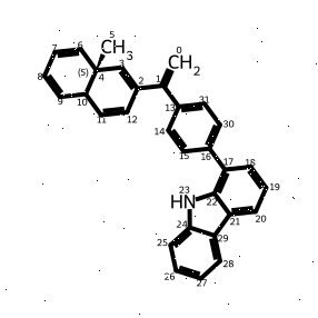 C=C(C1=C[C@@]2(C)C=CC=CC2C=C1)c1ccc(-c2cccc3c2[nH]c2ccccc23)cc1